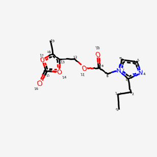 CCCc1nccn1CC(=O)OCc1oc(=O)oc1C